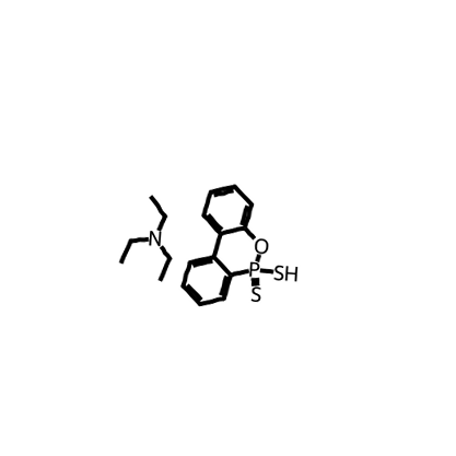 CCN(CC)CC.S=P1(S)Oc2ccccc2-c2ccccc21